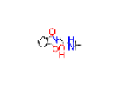 CC(C)(C)NCC(O)CN1C(=O)c2ccccc2C1=O